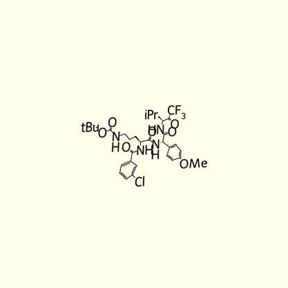 COc1ccc([C@H](NC(=O)[C@H](CCCNC(=O)OC(C)(C)C)NC(=O)c2cccc(Cl)c2)C(=O)N[C@H](C(=O)C(F)(F)F)C(C)C)cc1